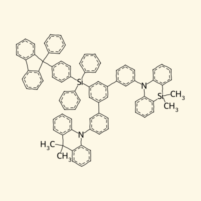 CC1(C)c2ccccc2N(c2cccc(-c3cc(-c4cccc(N5c6ccccc6[Si](C)(C)c6ccccc65)c4)cc([Si](c4ccccc4)(c4ccccc4)c4ccc(C5(c6ccccc6)c6ccccc6-c6ccccc65)cc4)c3)c2)c2ccccc21